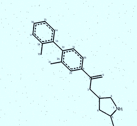 C=C(CC1CNC(C)C1)c1ccc(-c2ccccc2C)c(C)c1